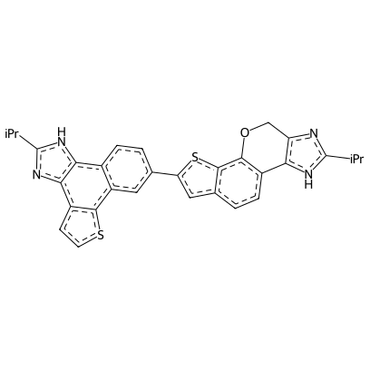 CC(C)c1nc2c([nH]1)-c1ccc3cc(-c4ccc5c(c4)c4sccc4c4nc(C(C)C)[nH]c54)sc3c1OC2